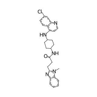 Cn1c(CCC(=O)NC2CCC(Nc3ccnc4cc(Cl)ccc34)CC2)nc2ccccc21